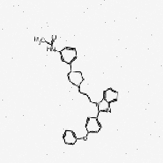 CC(=O)Nc1cccc(C2CCN(CCCn3c(-c4ccc(Oc5ccccc5)cc4)nc4ccccc43)CC2)c1